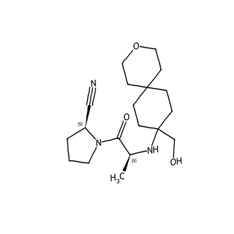 C[C@H](NC1(CO)CCC2(CCOCC2)CC1)C(=O)N1CCC[C@H]1C#N